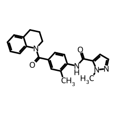 Cc1cc(C(=O)N2CCCc3ccccc32)ccc1NC(=O)c1ccnn1C